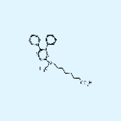 CN(CCCCCCCC(=O)O)c1cnc(-c2ccccc2)c(-c2ccccc2)n1